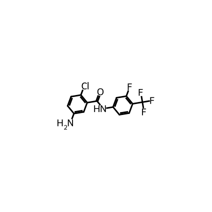 Nc1ccc(Cl)c(C(=O)Nc2ccc(C(F)(F)F)c(F)c2)c1